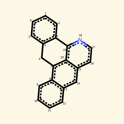 c1ccc2c(c1)Cc1c3ccccc3cc3ccnc-2c13